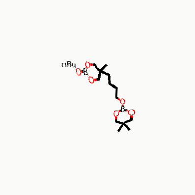 CCCCOB1OCC(C)(CCCCOB2OCC(C)(C)CO2)CO1